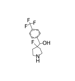 OC(c1ccc(C(F)(F)F)cc1)C1(F)CCNCC1